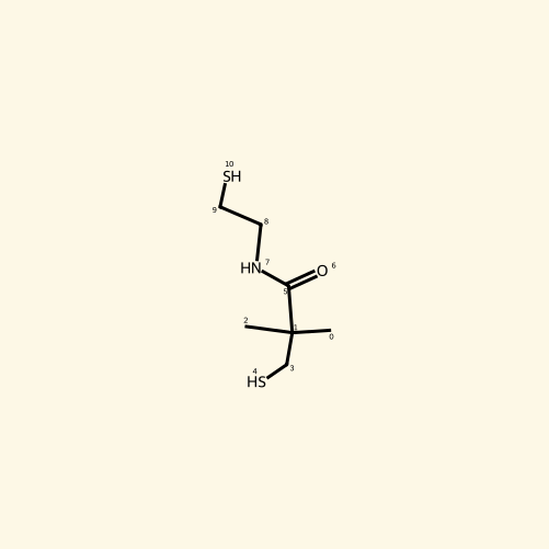 CC(C)(CS)C(=O)NCCS